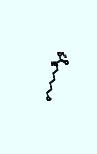 CC(=O)NCCCCCC[O]